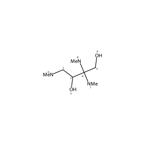 CNCC(O)C(CO)(NC)NC